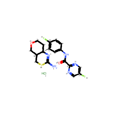 Cl.NC1=N[C@]2(c3cc(NC(=O)c4ncc(F)cn4)ccc3F)CCOCC2CS1